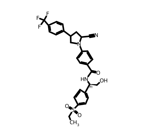 CCS(=O)(=O)c1ccc([C@H](CO)NC(=O)c2ccc(N3CC(c4ccc(C(F)(F)F)cc4)CC3C#N)cc2)cc1